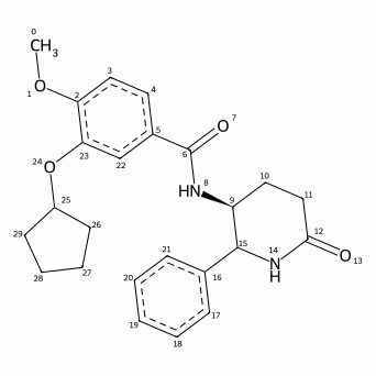 COc1ccc(C(=O)N[C@H]2CCC(=O)NC2c2ccccc2)cc1OC1CCCC1